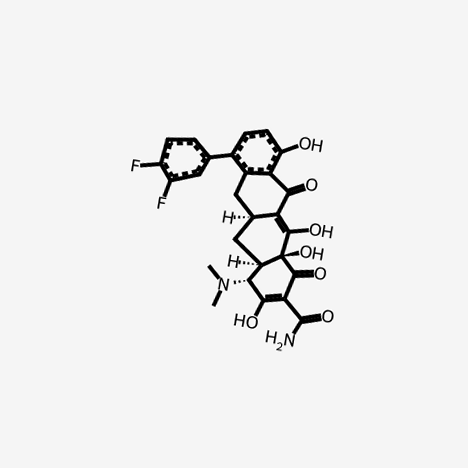 CN(C)[C@H]1C(O)=C(C(N)=O)C(=O)[C@@]2(O)C(O)=C3C(=O)c4c(O)ccc(-c5ccc(F)c(F)c5)c4C[C@@H]3C[C@H]12